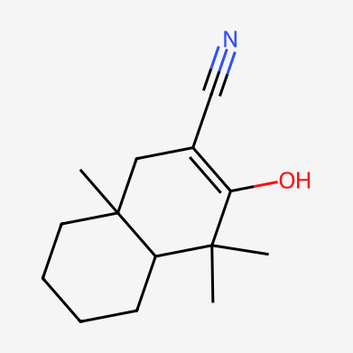 CC12CCCCC1C(C)(C)C(O)=C(C#N)C2